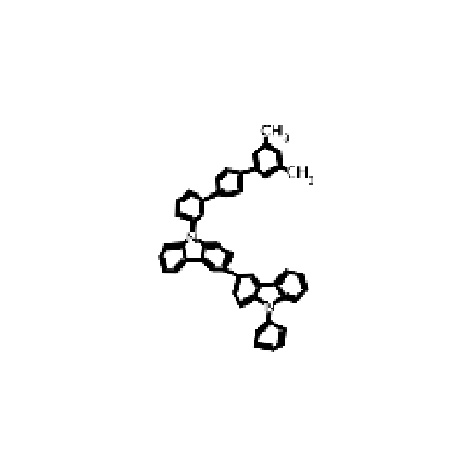 Cc1cc(C)cc(-c2ccc(-c3cccc(-n4c5ccccc5c5cc(-c6ccc7c(c6)c6ccccc6n7-c6ccccc6)ccc54)c3)cc2)c1